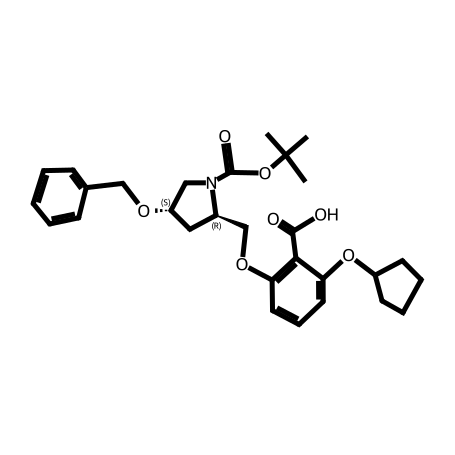 CC(C)(C)OC(=O)N1C[C@@H](OCc2ccccc2)C[C@@H]1COc1cccc(OC2CCCC2)c1C(=O)O